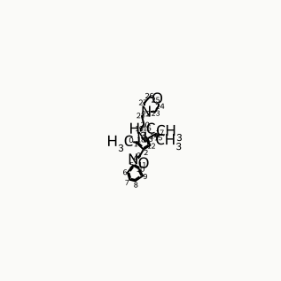 Cc1c(-c2nc3ccccc3o2)cc(C(C)(C)C)n1CCCN1CCOCC1